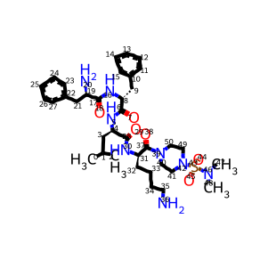 CC(C)C[C@@H](NC(=O)[C@@H](Cc1ccccc1)NC(=O)[C@H](N)Cc1ccccc1)C(=O)N[C@H](CCCCN)C(=O)N1CCN(S(=O)(=O)N(C)C)CC1